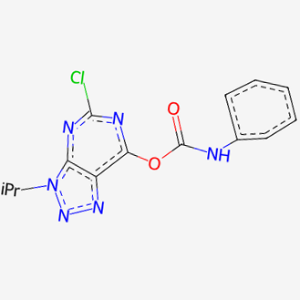 CC(C)n1nnc2c(OC(=O)Nc3ccccc3)nc(Cl)nc21